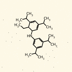 CCC1C(C(C)C)=CC(C(C)C)=CC1Nc1cc(C(C)C)cc(C(C)C)c1